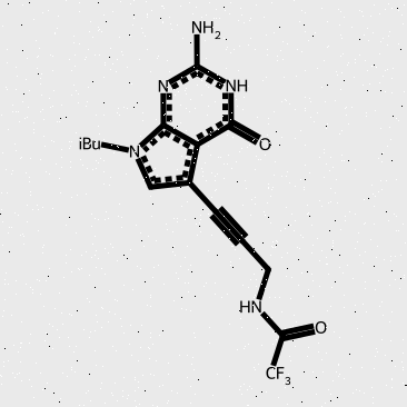 CCC(C)n1cc(C#CCNC(=O)C(F)(F)F)c2c(=O)[nH]c(N)nc21